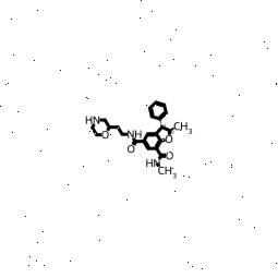 CNC(=O)c1cc(C(=O)NCCC2CNCCO2)cc2c1O[C@H](C)[C@H]2c1ccccc1